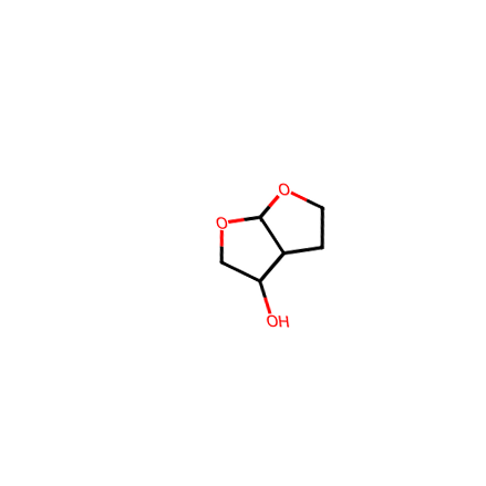 OC1CO[C]2OCCC21